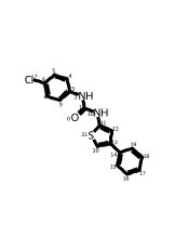 O=C(Nc1ccc(Cl)cc1)Nc1cc(-c2ccccc2)cs1